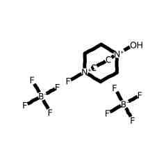 F[B-](F)(F)F.F[B-](F)(F)F.O[N+]12CC[N+](F)(CC1)CC2